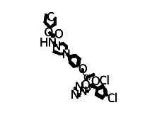 O=C(NN1CCN(c2ccc(OC[C@@H]3CO[C@@](Cn4cncn4)(c4ccc(Cl)cc4Cl)O3)cc2)CC1)OC1CCCCC1